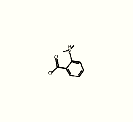 C[SiH](C)c1ccccc1C(=O)Cl